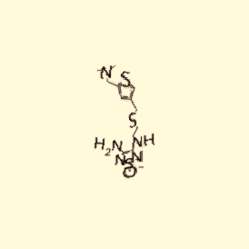 CN(C)Cc1cc(CSCCNc2n[s+]([O-])nc2N)cs1